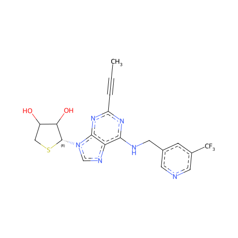 CC#Cc1nc(NCc2cncc(C(F)(F)F)c2)c2ncn([C@@H]3SCC(O)C3O)c2n1